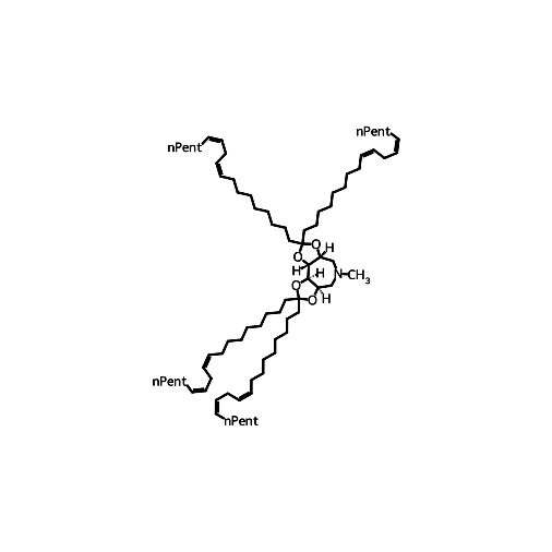 CCCCC/C=C\C/C=C\CCCCCCCCC1(CCCCCCCC/C=C\C/C=C\CCCCC)O[C@H]2[C@@H]3OC(CCCCCCCC/C=C\C/C=C\CCCCC)(CCCCCCCC/C=C\C/C=C\CCCCC)O[C@@H]3CN(C)C[C@H]2O1